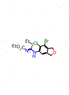 CCOC(=O)/N=C(/Nc1cc2c(c(Br)c1Cl)COC2)SCC